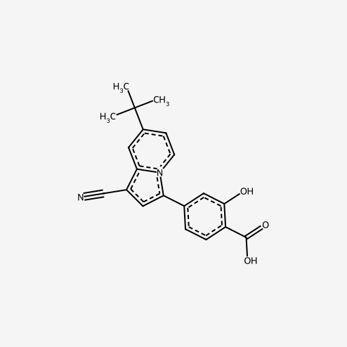 CC(C)(C)c1ccn2c(-c3ccc(C(=O)O)c(O)c3)cc(C#N)c2c1